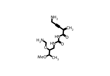 C=C(C#CCN)C(=O)NC(=O)NCC(OCN)C(C)OC